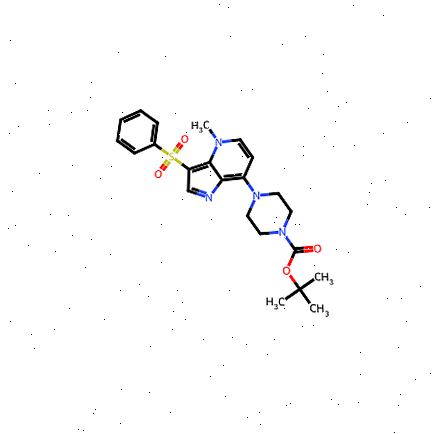 Cn1ccc(N2CCN(C(=O)OC(C)(C)C)CC2)c2ncc(S(=O)(=O)c3ccccc3)c1-2